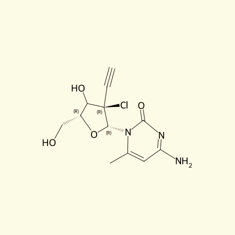 C#C[C@@]1(Cl)C(O)[C@@H](CO)O[C@H]1n1c(C)cc(N)nc1=O